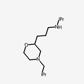 CC(C)CN1CCOC(CCCNC(C)C)C1